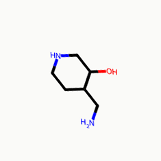 NCC1CCNCC1O